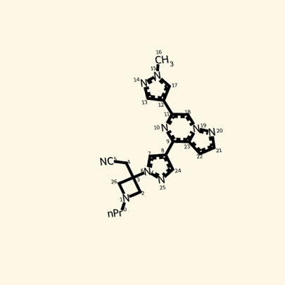 CCCN1CC(CC#N)(n2cc(-c3nc(-c4cnn(C)c4)cn4nccc34)cn2)C1